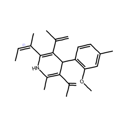 C=C(C)C1=C(C)NC(/C(C)=C\C)=C(C(=C)C)C1c1ccc(C)cc1OC